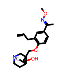 C=CCc1cc(C(C)=NOC)ccc1OCC1(O)CN2CCC1CC2